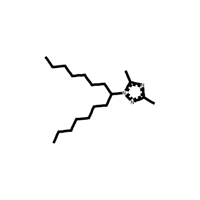 CCCCCCCC(CCCCCCC)n1nc(C)nc1C